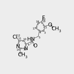 COc1cc(CNC(=O)c2cc(Cl)nc(C)n2)ccc1F